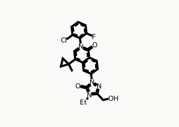 CCn1c(CO)nn(-c2ccc3c(=O)n(-c4c(F)cccc4Cl)cc(C4(C)CC4)c3c2)c1=O